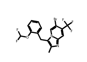 Cc1nc2cc(C(F)(F)F)c(Br)cn2c1Cc1ccccc1OC(F)F